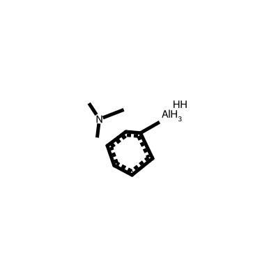 CN(C)C.Cc1ccccc1.[AlH3].[HH]